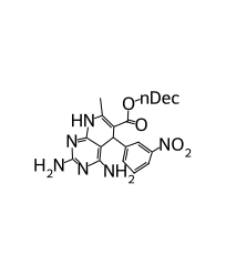 CCCCCCCCCCOC(=O)C1=C(C)Nc2nc(N)nc(N)c2C1c1cccc([N+](=O)[O-])c1